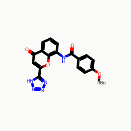 CCCCOc1ccc(C(=O)Nc2cccc3c(=O)cc(-c4nnn[nH]4)oc23)cc1